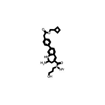 CCCN(CCCO)C(=O)C1=Cc2ccc(-c3ccc(CC(=O)OCC4CCC4)cc3)cc2NC(N)C1